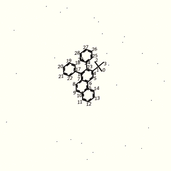 CC(C)(C)c1cc2c(ccc3ccccc32)c(-c2ccccc2)c1-c1ccccc1